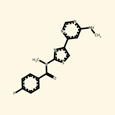 CNc1cc(-c2csc(N(C)C(=O)c3ccc(F)cc3)n2)ncn1